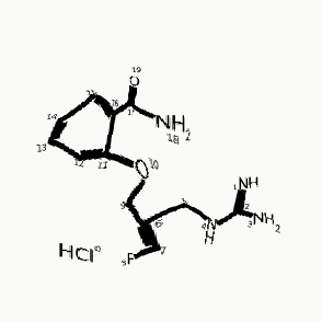 Cl.N=C(N)NC/C(=C/F)COc1ccccc1C(N)=O